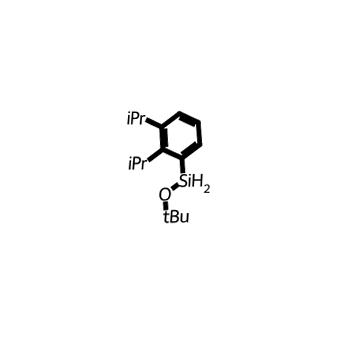 CC(C)c1cccc([SiH2]OC(C)(C)C)c1C(C)C